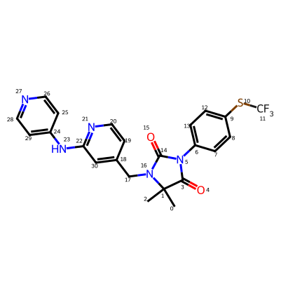 CC1(C)C(=O)N(c2ccc(SC(F)(F)F)cc2)C(=O)N1Cc1ccnc(Nc2ccncc2)c1